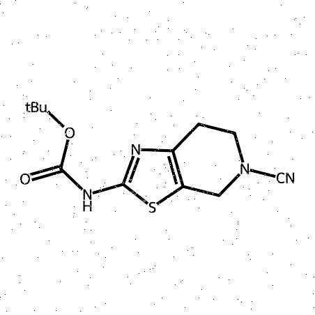 CC(C)(C)OC(=O)Nc1nc2c(s1)CN(C#N)CC2